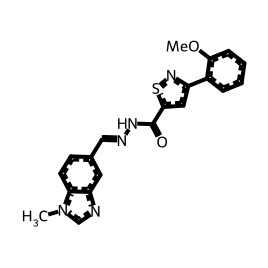 COc1ccccc1-c1cc(C(=O)NN=Cc2ccc3c(c2)ncn3C)sn1